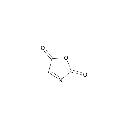 O=C1C=NC(=O)O1